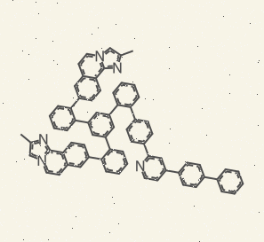 Cc1cn2ccc3cc(-c4ccccc4-c4cc(-c5ccccc5-c5ccc(-c6cc(-c7ccc(-c8ccccc8)cc7)ccn6)cc5)cc(-c5ccccc5-c5ccc6c(ccn7cc(C)nc67)c5)c4)ccc3c2n1